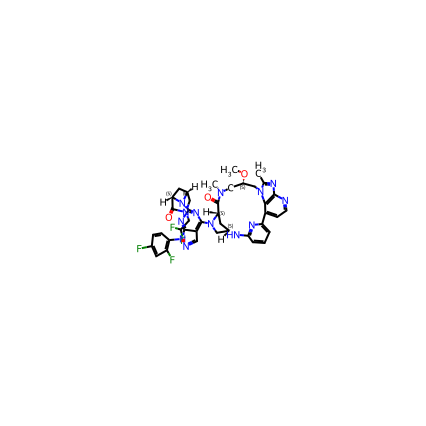 CO[C@H]1CN(C)C(=O)[C@@H]2C[C@@H](CN2c2nc(N3[C@@H]4C[C@H]3C(=O)N(CC(F)F)C4)nc3c2cnn3-c2ccc(F)cc2F)Nc2cccc(n2)-c2ccnc3nc(C)n(c23)C1